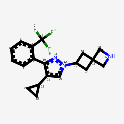 FC(F)(F)c1ccccc1-c1nn(C2CC3(CNC3)C2)cc1C1CC1